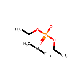 CCOP(=O)([O-])OCC.[CH3][Al+][CH3]